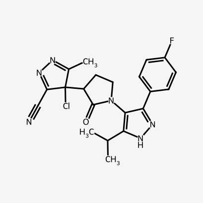 CC1=NN=C(C#N)C1(Cl)C1CCN(c2c(-c3ccc(F)cc3)n[nH]c2C(C)C)C1=O